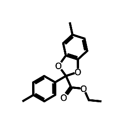 CCOC(=O)C1(c2ccc(C)cc2)Oc2ccc(C)cc2O1